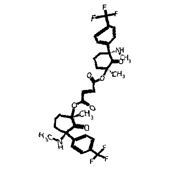 CN[C@@]1(c2ccc(C(F)(F)F)cc2)CCC[C@](C)(OC(=O)/C=C/C(=O)O[C@@]2(C)CCC[C@@](NC)(c3ccc(C(F)(F)F)cc3)C2=O)C1=O